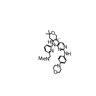 CNCc1cccc(N2c3nc(Nc4ccc(N5CCOCC5)cc4)ncc3[C@]3(C)COC(C)(C)C[C@H]23)n1